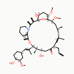 C=CC[C@@H]1/C=C(\C)C[C@H](C)C[C@H](OC)[C@@]2(C)O[C@@](O)(C(=C)C(=C)N3CCCC[C@H]3C(=C)O[C@H](/C(C)=C/[C@@H]3CC[C@@H](O)[C@H](OC)C3)[C@H](C)[C@@H](O)CC1=O)[C@H](C)C[C@@H]2OC